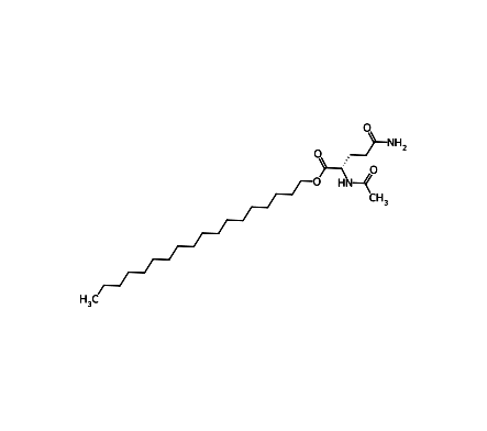 CCCCCCCCCCCCCCCCCCOC(=O)[C@H](CCC(N)=O)NC(C)=O